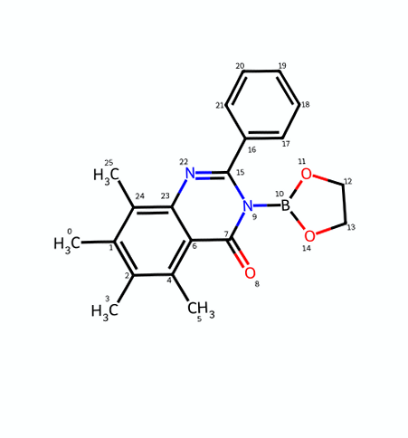 Cc1c(C)c(C)c2c(=O)n(B3OCCO3)c(-c3ccccc3)nc2c1C